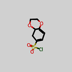 O=S(=O)(Cl)C1=CC=C2OCCOC2C1